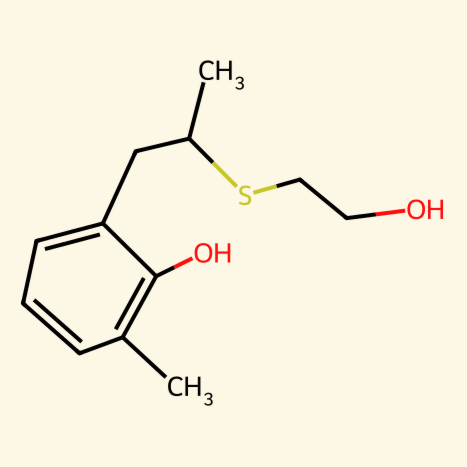 Cc1cccc(CC(C)SCCO)c1O